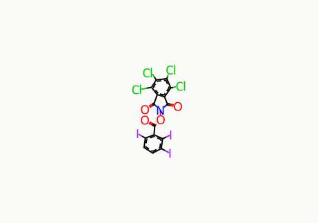 O=C(ON1C(=O)c2c(Cl)c(Cl)c(Cl)c(Cl)c2C1=O)c1c(I)ccc(I)c1I